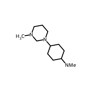 CNC1CCC(N2CCCN(C)C2)CC1